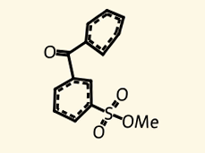 COS(=O)(=O)c1cccc(C(=O)c2ccccc2)c1